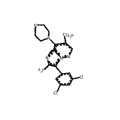 O=C(O)c1cnn2c(-c3cc(Cl)cc(Cl)c3)c(C(F)(F)F)nc2c1N1CCOCC1